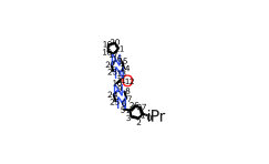 CC(C)c1ccc(CN2CCN(CC(=O)N3CCN(C4CCCC4)CC3)CC2)cc1